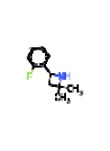 CC1(C)C[C@@H](c2cc[c]cc2F)N1